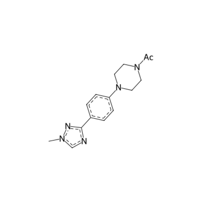 CC(=O)N1CCN(c2ccc(-c3ncn(C)n3)cc2)CC1